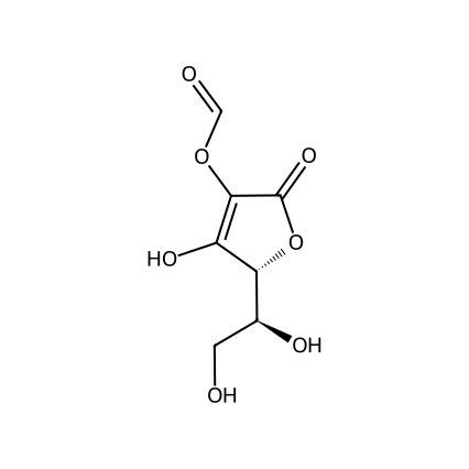 O=COC1=C(O)[C@@H]([C@@H](O)CO)OC1=O